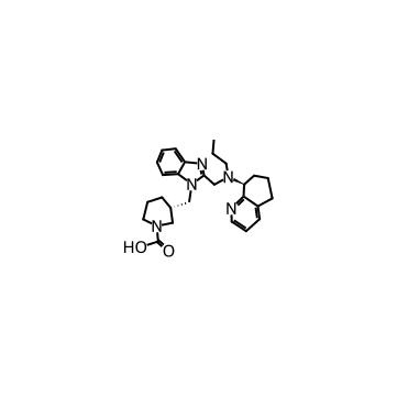 CCCN(Cc1nc2ccccc2n1C[C@H]1CCCN(C(=O)O)C1)[C@H]1CCCc2cccnc21